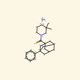 CC1(C)CN(C(=S)C23CC4CC(C2)CC(c2ccccc2)(C4)C3)CC[C@@H]1N